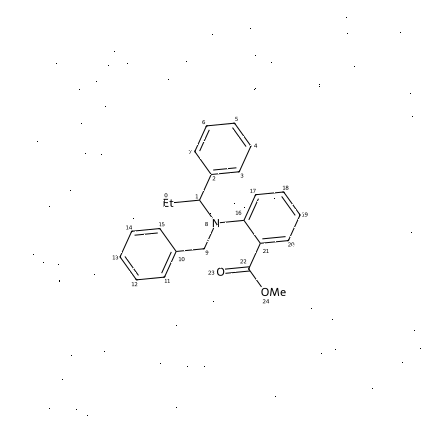 CCC(c1ccccc1)N(Cc1ccccc1)c1ccccc1C(=O)OC